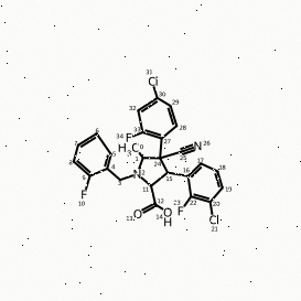 CC1N(Cc2ccccc2F)C(C(=O)O)C(c2cccc(Cl)c2F)C1(C#N)c1ccc(Cl)cc1F